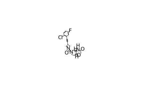 O=C1CO[C@H]2CCN(C(=O)N3CC(C#Cc4cc(F)ccc4Cl)C3)C[C@H]2N1